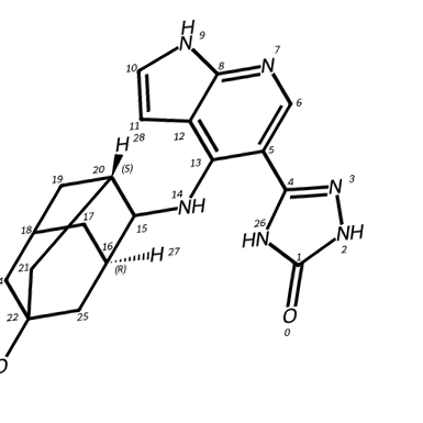 O=c1[nH]nc(-c2cnc3[nH]ccc3c2NC2[C@@H]3CC4C[C@H]2CC(O)(C4)C3)[nH]1